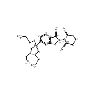 CCC[CH2][Sn]([CH2]CCC)([CH2]CCC)[c]1ccc2c(c1)CN(N1C(=O)CCCC1=O)C2=O